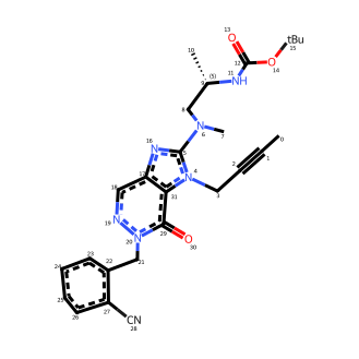 CC#CCn1c(N(C)C[C@H](C)NC(=O)OC(C)(C)C)nc2cnn(Cc3ccccc3C#N)c(=O)c21